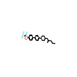 C=C(CCC)CC1CCC(c2ccc(-c3ccc(OC(F)(F)F)cc3)cc2)CC1